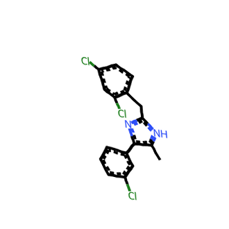 Cc1[nH]c(Cc2ccc(Cl)cc2Cl)nc1-c1cccc(Cl)c1